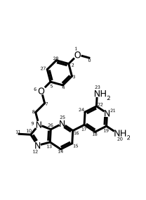 COc1ccc(OCCn2c(C)nc3ccc(-c4cc(N)nc(N)c4)nc32)cc1